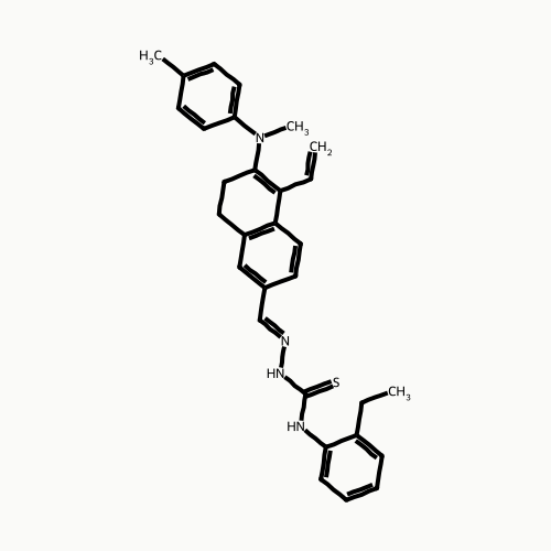 C=CC1=C(N(C)c2ccc(C)cc2)CCc2cc(/C=N/NC(=S)Nc3ccccc3CC)ccc21